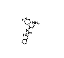 C=C(/N=C(\C=C/N)N1CCNCC1)NCC1CCCC1